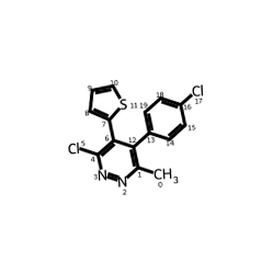 Cc1nnc(Cl)c(-c2cccs2)c1-c1ccc(Cl)cc1